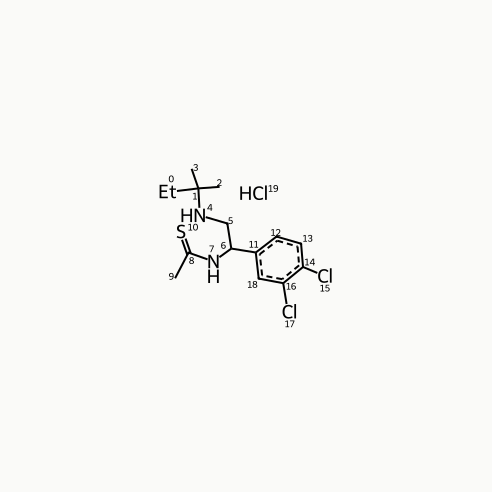 CCC(C)(C)NCC(NC(C)=S)c1ccc(Cl)c(Cl)c1.Cl